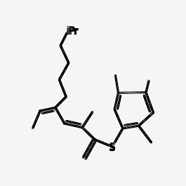 C=C(Sc1cc(C)c(C)cc1C)/C(C)=C/C(=C\C)CCCCC(C)C